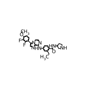 CCc1cc(Nc2nccn3c(-c4ccc(OC)c(F)c4F)cnc23)ccc1C(=O)N[C@@H]1CCNC1